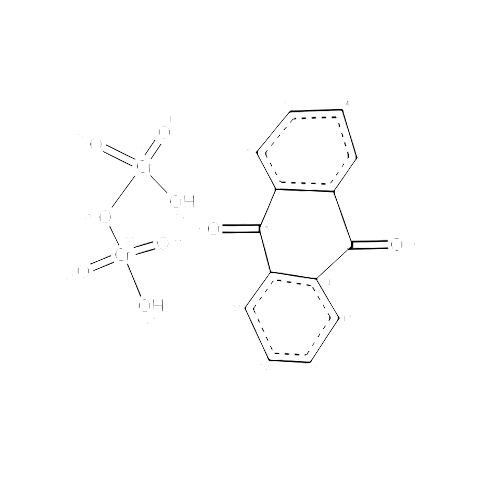 O=C1c2ccccc2C(=O)c2ccccc21.[O]=[Cr](=[O])([OH])[O][Cr](=[O])(=[O])[OH]